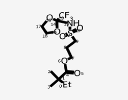 CCC(C)(C)C(=O)OCCCS(=O)(=O)NC1(C(F)(F)F)OCCO1